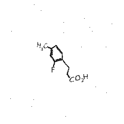 Cc1ccc(CCC(=O)O)c(F)c1